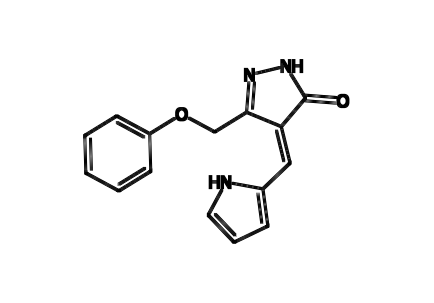 O=C1NN=C(COc2ccccc2)/C1=C\c1ccc[nH]1